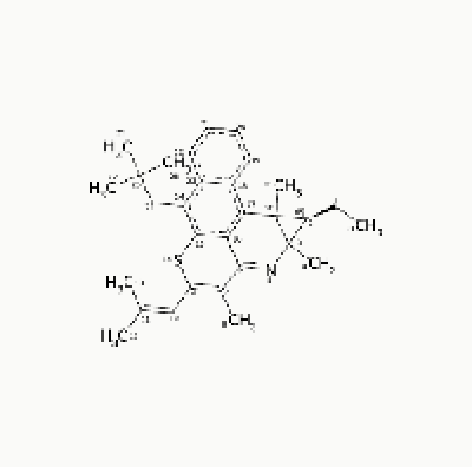 CC[C@H]1C2(C)N=C3C(C)=C(C=C(C)C)Sc4c3c(c3ccccc3c4CC(C)(C)C)C12C